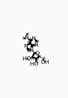 CN(C)c1ncnc2c1ncn2[C@@H]1O[C@H](CO)C(O)[C@@H]1O